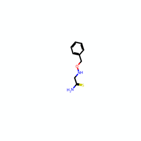 NC(=S)CNOCc1ccccc1